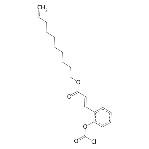 C=CCCCCCCCCOC(=O)/C=C/c1ccccc1OC(=O)Cl